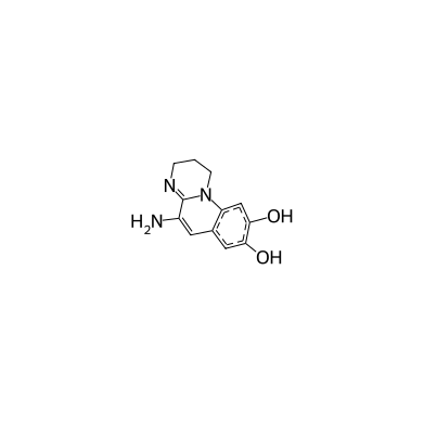 NC1=Cc2cc(O)c(O)cc2N2CCCN=C12